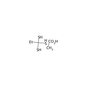 CC(=O)O.CCC(S)(S)S